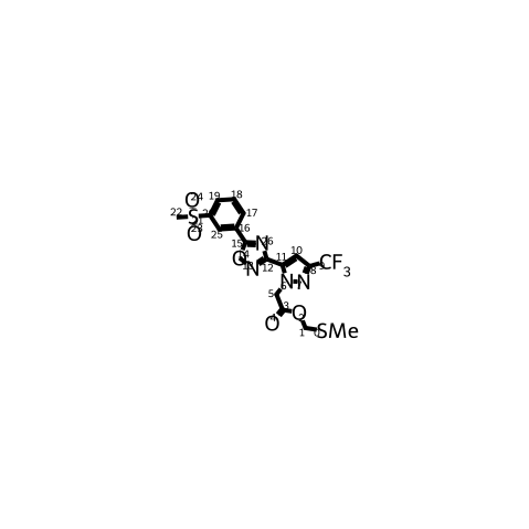 CSCOC(=O)Cn1nc(C(F)(F)F)cc1-c1noc(-c2cccc(S(C)(=O)=O)c2)n1